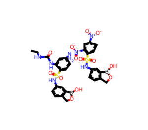 CCNC(=O)Nc1cc(N)ccc1S(=O)(=O)Nc1ccc2c(c1)B(O)OC2.O=[N+]([O-])c1ccc(S(=O)(=O)Nc2ccc3c(c2)B(O)OC3)c([N+](=O)[O-])c1